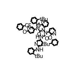 CC(C)(C)c1ccccc1Nc1ccc(NC(=O)N(c2cccnc2Oc2ccccc2C(C)(C)C)N(C(=O)Nc2ccc(Oc3ccccc3C(F)(F)F)nc2)c2cccnc2Oc2ccccc2C(C)(C)C)cn1